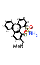 CNCc1ccc(-c2ccccc2)c(-c2ccccc2S(N)(=O)=O)c1Cl